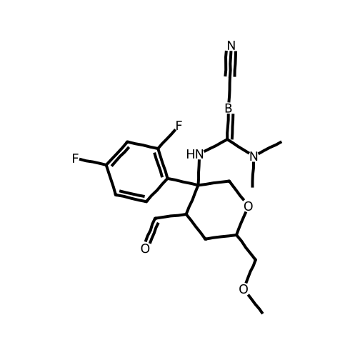 COCC1CC(C=O)C(NC(=BC#N)N(C)C)(c2ccc(F)cc2F)CO1